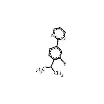 CC(C)c1ccc(-c2ncccn2)cc1F